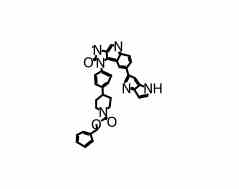 Cn1c(=O)n(-c2ccc(C3CCN(C(=O)OCc4ccccc4)CC3)cc2)c2c3cc(-c4cnc5cc[nH]c5c4)ccc3ncc21